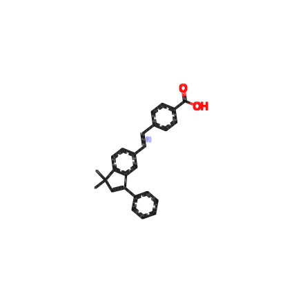 CC1(C)C=C(c2ccccc2)c2cc(/C=C/c3ccc(C(=O)O)cc3)ccc21